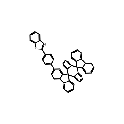 c1ccc2c(c1)-c1ccccc1C21c2ccccc2C2(c3ccccc3-c3ccc(-c4ccc(-c5nc6ccccc6s5)cc4)cc32)c2ccccc21